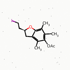 CC(=O)Oc1c(C)c(C)c2c(c1C)C[C@@H](CCI)O2